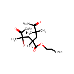 CNC(=O)C(C)(C)CC(C)(CC(C)(Br)C(=O)OC)C(=O)OCCOC